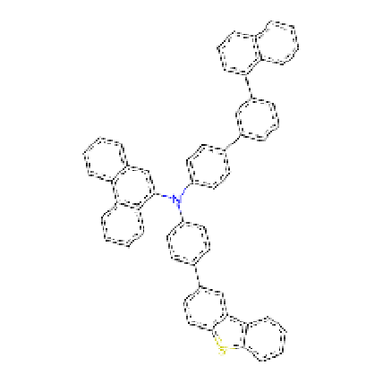 c1cc(-c2ccc(N(c3ccc(-c4ccc5sc6ccccc6c5c4)cc3)c3cc4ccccc4c4ccccc34)cc2)cc(-c2cccc3ccccc23)c1